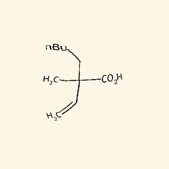 C=CC(C)(CCCCC)C(=O)O